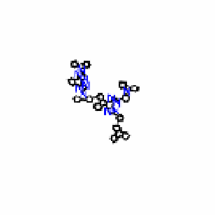 c1cc(-c2ccc3c4ccccc4c4ccccc4c3c2)cc(-c2cnc3c(n2)c2nc(-c4cccc(-n5c6ccccc6c6ccccc65)c4)cnc2c2c4cccc(-c5ccc6c7ccccc7n(-c7cnc8c(n7)c7ccccc7c7nc(-n9c%10ccccc%10c%10ccccc%109)cnc78)c6c5)c4c4ccccc4c32)c1